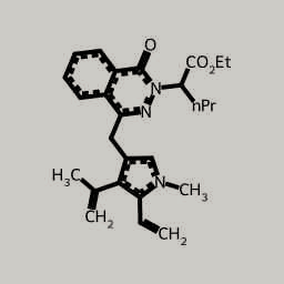 C=Cc1c(C(=C)C)c(Cc2nn(C(CCC)C(=O)OCC)c(=O)c3ccccc23)cn1C